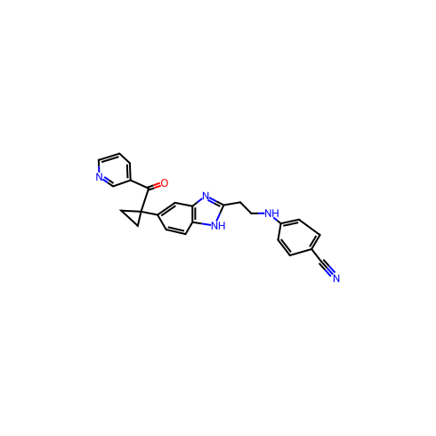 N#Cc1ccc(NCCc2nc3cc(C4(C(=O)c5cccnc5)CC4)ccc3[nH]2)cc1